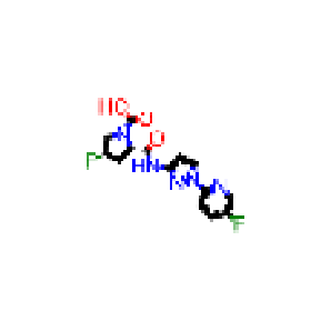 O=C(Nc1ccn(-c2ccc(F)cn2)n1)[C@@H]1C[C@@H](F)CN1C(=O)O